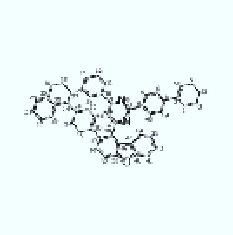 C1=CC(c2ccc(-c3nc(-c4ccccc4)nc(-c4c(C5=CC=C(C6=c7ccccc7=CCC6)CC5)ccc5oc6ccccc6c45)n3)cc2)=CCC1